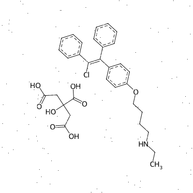 CCNCCCCOc1ccc(C(=C(Cl)c2ccccc2)c2ccccc2)cc1.O=C(O)CC(O)(CC(=O)O)C(=O)O